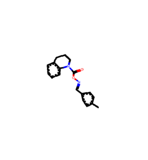 Cc1ccc(C=NOC(=O)N2CCCc3ccccc32)cc1